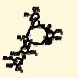 CO[C@H]1C[C@H](O[C@H]2[C@H](C)O[C@@H](O[C@@H]3/C(C)=C\C[C@@H]4C[C@@H](C[C@]5(CC[C@H](C)[C@@H](C(C)C)O5)O4)OC(=O)[C@@H]4C=C(C)[C@@H](O)[C@H]5OC/C(=C/C=C\[C@@H]3C)[C@]54O)C[C@@H]2OC)O[C@@H](C)[C@@H]1O